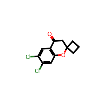 O=C1CC2(CCC2)Oc2cc(Cl)c(Cl)cc21